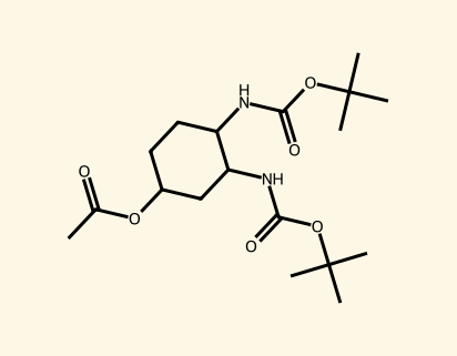 CC(=O)OC1CCC(NC(=O)OC(C)(C)C)C(NC(=O)OC(C)(C)C)C1